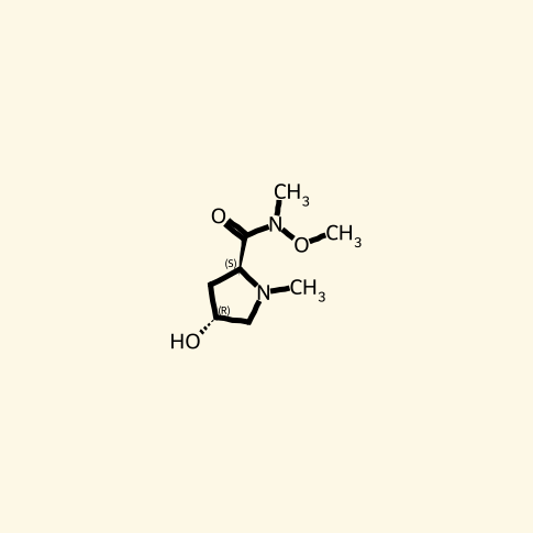 CON(C)C(=O)[C@@H]1C[C@@H](O)CN1C